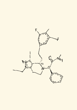 CCn1nc(C)c2c1CCN([C@@H](C(=O)NC)c1ccccc1)[C@H]2CCc1cc(F)c(C)c(F)c1